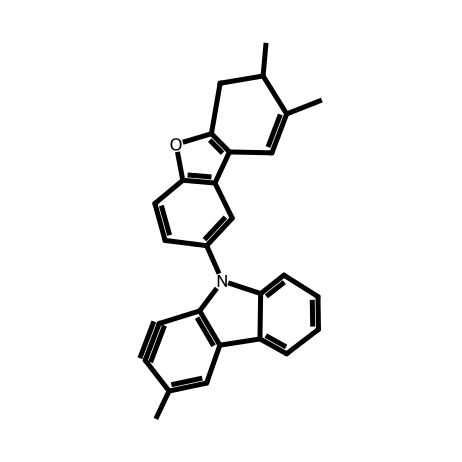 CC1=Cc2c(oc3ccc(-n4c5c#cc(C)cc5c5ccccc54)cc23)CC1C